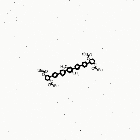 Cc1cc(-c2ccc(-c3ccc(C4=CC(OC(=O)C(C)(C)C)CCC4OC(=O)C(C)(C)C)cc3)cc2)c(C)cc1-c1ccc(-c2ccc(C3=CC(OC(=O)C(C)(C)C)CCC3OC(=O)C(C)(C)C)cc2)cc1